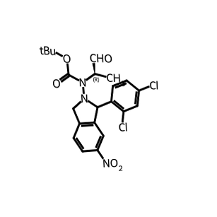 C[C@H](C=O)N(C(=O)OC(C)(C)C)N1Cc2ccc([N+](=O)[O-])cc2C1c1ccc(Cl)cc1Cl